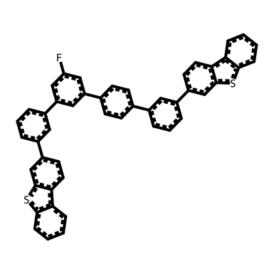 Fc1cc(-c2ccc(-c3cccc(-c4ccc5c(c4)sc4ccccc45)c3)cc2)cc(-c2cccc(-c3ccc4c(c3)sc3ccccc34)c2)c1